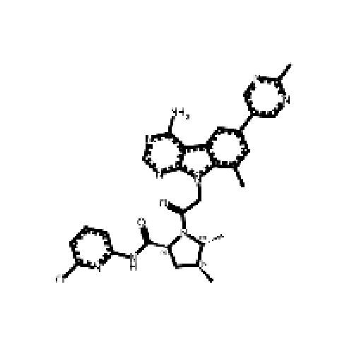 Cc1ncc(-c2cc(C)c3c(c2)c2c(N)ncnc2n3CC(=O)N2[C@H](C)[C@@H](C)C[C@H]2C(=O)Nc2cccc(Cl)n2)cn1